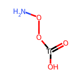 NO[O][Ti](=[O])[OH]